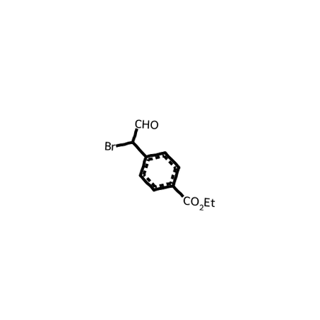 CCOC(=O)c1ccc(C(Br)C=O)cc1